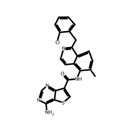 Cc1ccc2c(Cc3ccccc3Cl)nccc2c1NC(=O)c1csc2c(N)ncnc12